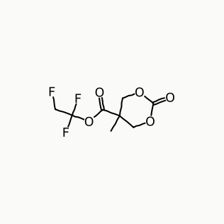 CC1(C(=O)OC(F)(F)CF)COC(=O)OC1